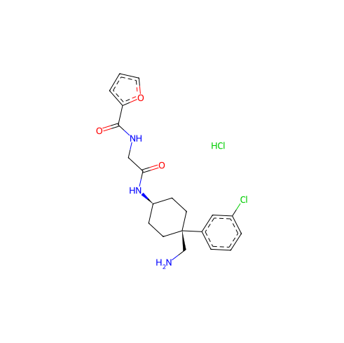 Cl.NC[C@]1(c2cccc(Cl)c2)CC[C@H](NC(=O)CNC(=O)c2ccco2)CC1